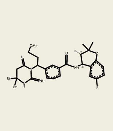 CCC1(CC)CC(=O)N(C(CCOC)c2cccc(C(=O)N[C@@H]3c4cc(F)ccc4OC(C)(C)[C@H]3C)c2)C(=N)N1